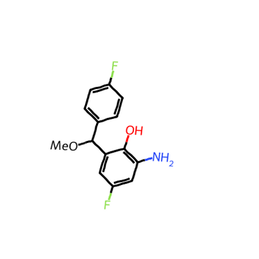 COC(c1ccc(F)cc1)c1cc(F)cc(N)c1O